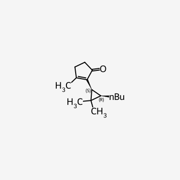 CCCC[C@@H]1[C@H](C2=C(C)CCC2=O)C1(C)C